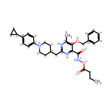 CCCC(=O)ONC(=O)c1nc(CC2CCN(c3ccc(C4CC4)cc3)CC2)nc(C)c1OCc1ccccc1